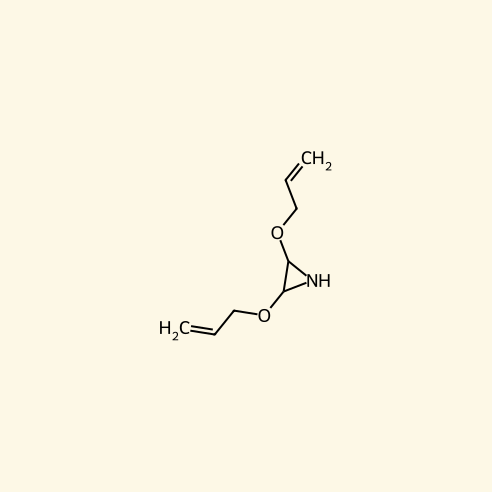 C=CCOC1NC1OCC=C